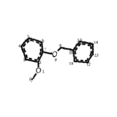 [CH2]Oc1ccccc1OCc1ccccc1